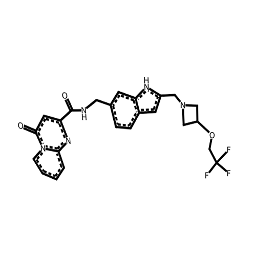 O=C(NCc1ccc2cc(CN3CC(OCC(F)(F)F)C3)[nH]c2c1)c1cc(=O)n2ccccc2n1